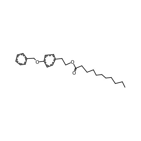 CCCCCCCCCCC(=O)OCCc1ccc(OCc2ccccc2)cc1